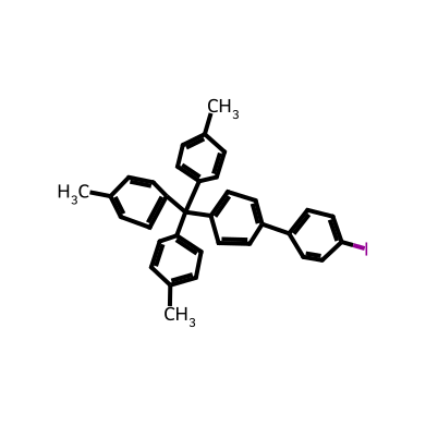 Cc1ccc(C(c2ccc(C)cc2)(c2ccc(C)cc2)c2ccc(-c3ccc(I)cc3)cc2)cc1